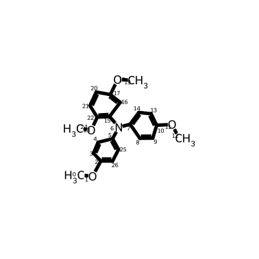 COc1ccc(N(c2ccc(OC)cc2)c2cc(OC)ccc2OC)cc1